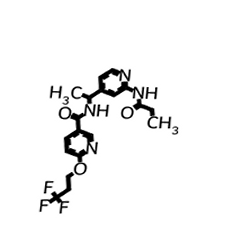 CCC(=O)Nc1cc(C(C)NC(=O)c2ccc(OCCC(F)(F)F)nc2)ccn1